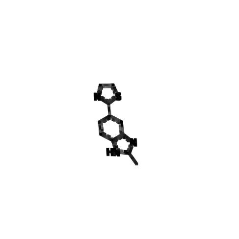 Cc1nc2cc(-c3nccs3)ccc2[nH]1